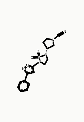 N#CN1CC[C@@H](N2CCN(c3cc(-c4ccccc4)no3)S2(=O)=O)C1